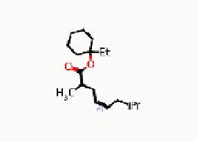 CCC1(OC(=O)C(C)C/C=C\CC(C)C)CCCCC1